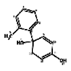 Cc1ccccc1C1(O)C=CC(O)=CC1